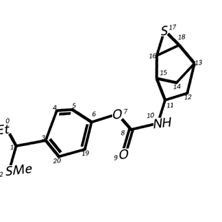 CCC(SC)c1ccc(OC(=O)NC2CC3CC2C2SC32)cc1